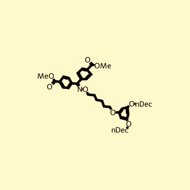 CCCCCCCCCCOc1cc(OCCCCCCCCCC)cc(OCCCCCCON=C(c2ccc(C(=O)OC)cc2)c2ccc(C(=O)OC)cc2)c1